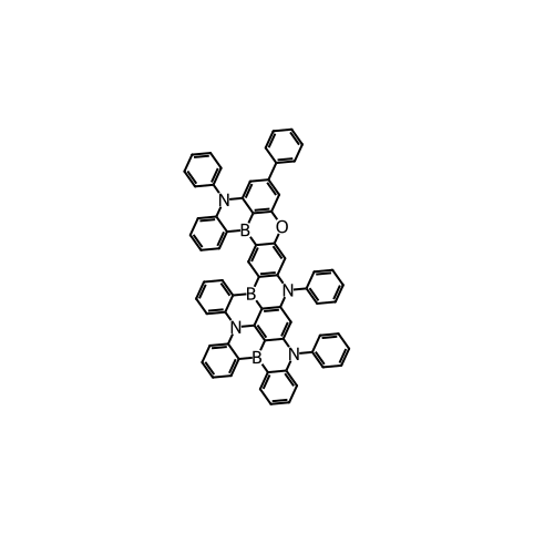 c1ccc(-c2cc3c4c(c2)N(c2ccccc2)c2ccccc2B4c2cc4c(cc2O3)N(c2ccccc2)c2cc3c5c6c2B4c2ccccc2N6c2ccccc2B5c2ccccc2N3c2ccccc2)cc1